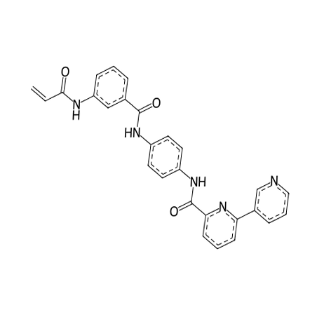 C=CC(=O)Nc1cccc(C(=O)Nc2ccc(NC(=O)c3cccc(-c4cccnc4)n3)cc2)c1